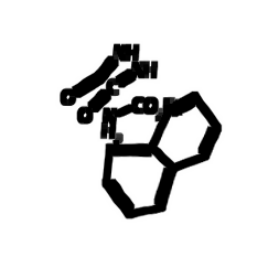 CCOC(N)=O.N=C=O.N=C=O.c1ccc2ccccc2c1